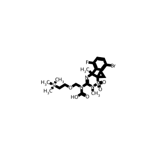 CN1C(N(COCC[Si](C)(C)C)C(=O)O)=NC(C)(c2cc(Br)ccc2F)C2(CC2)S1(=O)=O